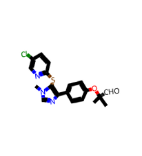 Cn1cnc(-c2ccc(OC(C)(C)C=O)cc2)c1Sc1ccc(Cl)cn1